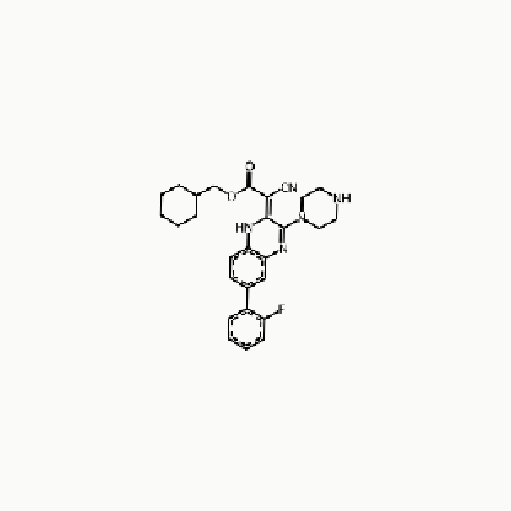 N#CC(C(=O)OCC1CCCCC1)=C1Nc2ccc(-c3ccccc3F)cc2N=C1N1CCNCC1